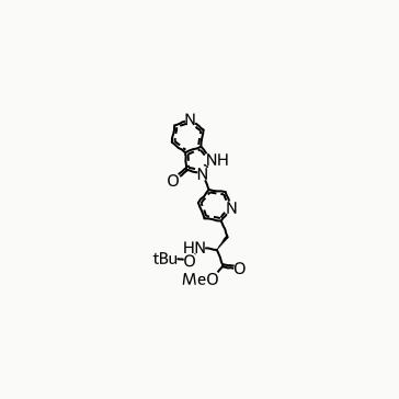 COC(=O)[C@H](Cc1ccc(-n2[nH]c3cnccc3c2=O)cn1)NOC(C)(C)C